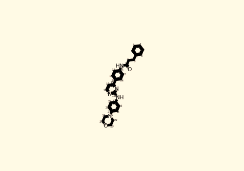 O=C(CCc1ccccc1)Nc1ccc(-c2ccnc(Nc3ccc(N4CCOCC4)cc3)n2)cc1